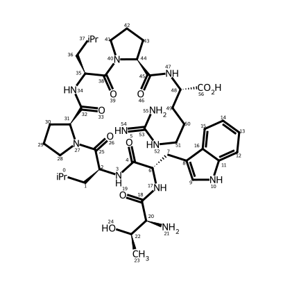 CC(C)C[C@H](NC(=O)[C@H](Cc1c[nH]c2ccccc12)NC(=O)[C@@H](N)[C@@H](C)O)C(=O)N1CCC[C@H]1C(=O)N[C@@H](CC(C)C)C(=O)N1CCC[C@H]1C(=O)N[C@@H](CCCNC(=N)N)C(=O)O